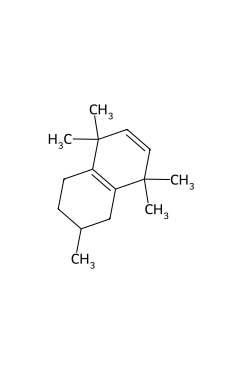 CC1CCC2=C(C1)C(C)(C)C=CC2(C)C